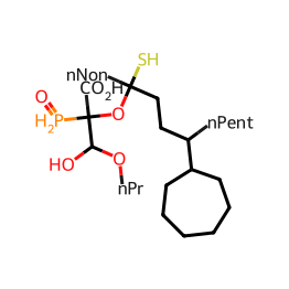 CCCCCCCCCC(S)(CCC(CCCCC)C1CCCCCC1)OC([PH2]=O)(C(=O)O)C(O)OCCC